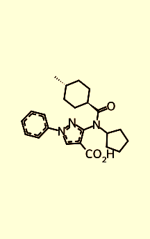 C[C@H]1CC[C@H](C(=O)N(c2nn(-c3ccccc3)cc2C(=O)O)C2CCCC2)CC1